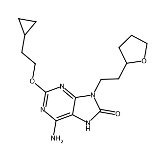 Nc1nc(OCCC2CC2)nc2c1[nH]c(=O)n2CCC1CCCO1